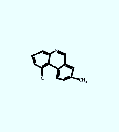 Cc1ccc2c(cnc3cccc(Cl)c32)c1